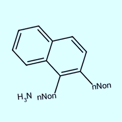 CCCCCCCCCc1ccc2ccccc2c1CCCCCCCCC.N